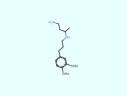 COc1ccc(CCCNC(C)CCN)cc1OC